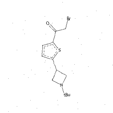 CC(C)(C)N1CC(c2ccc(C(=O)CBr)s2)C1